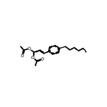 CCCCCCc1ccc(C=CC(OC(C)=O)OC(C)=O)cc1